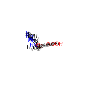 C[C@@H](NC(=O)c1cccc(NCc2nnc(-c3ccncn3)n2C)c1)c1cccc(OCCCCCOCCCOCCO)c1